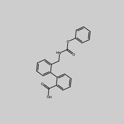 O=C(NCc1ccccc1-c1ccccc1C(=O)O)Oc1ccccc1